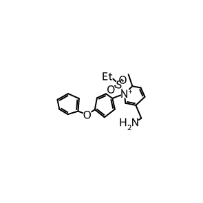 CCS(=O)(=O)[N+]1(c2ccc(Oc3ccccc3)cc2)C=C(CN)C=CC1C